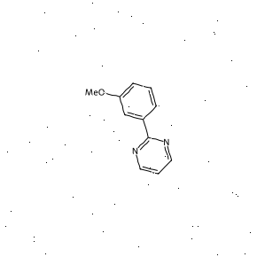 COc1cc[c]c(-c2ncccn2)c1